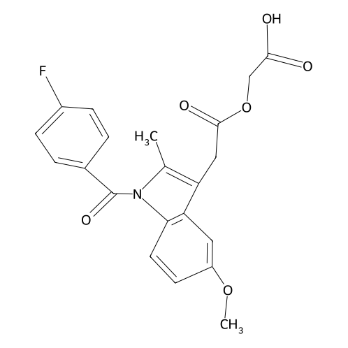 COc1ccc2c(c1)c(CC(=O)OCC(=O)O)c(C)n2C(=O)c1ccc(F)cc1